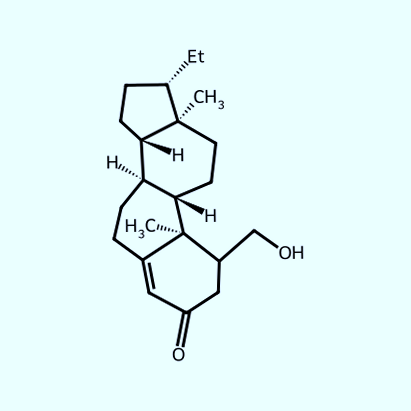 CC[C@H]1CC[C@H]2[C@@H]3CCC4=CC(=O)CC(CO)[C@]4(C)[C@H]3CC[C@]12C